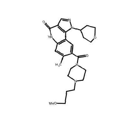 COCCCN1CCN(C(=O)c2cc3c(cc2C)[nH]c(=O)c2cnn(C4CCOCC4)c23)CC1